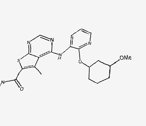 COC1CCCC(Oc2ncccc2Nc2ncnc3sc(C(N)=O)c(C)c23)C1